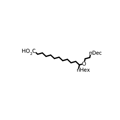 CCCCCCCCCCCCOC(CCCCCC)CCCCCCCCCCC(=O)O